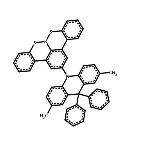 Cc1ccc2c(c1)C(c1ccccc1)(c1ccccc1)c1cc(C)ccc1N2c1cc2c3c(c1)-c1ccccc1SB3Sc1ccccc1-2